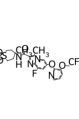 Cc1c(C(=O)NC2(C)CCS(=O)(=O)CC2)nc2c(F)cc(Oc3ncccc3OCC(F)(F)F)cn12